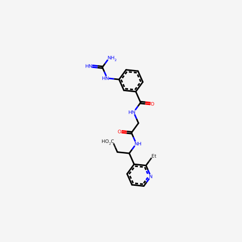 CCc1ncccc1C(CC(=O)O)NC(=O)CNC(=O)c1cccc(NC(=N)N)c1